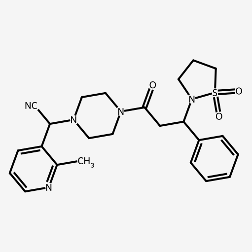 Cc1ncccc1C(C#N)N1CCN(C(=O)CC(c2ccccc2)N2CCCS2(=O)=O)CC1